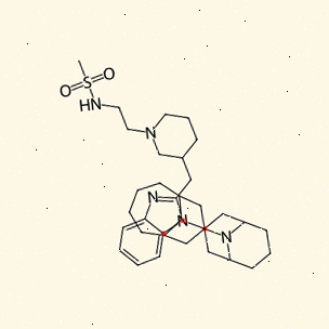 CS(=O)(=O)NCCN1CCCC(Cc2nc3ccccc3n2C2CC3CCCC(C2)N3C2CC3CCCCC(C3)C2)C1